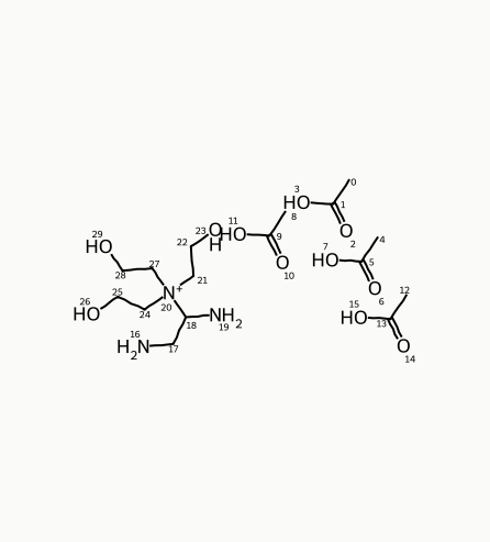 CC(=O)O.CC(=O)O.CC(=O)O.CC(=O)O.NCC(N)[N+](CCO)(CCO)CCO